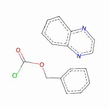 O=C(Cl)OCc1ccccc1.c1ccc2nccnc2c1